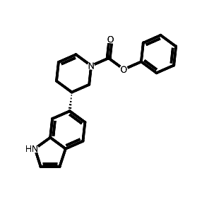 O=C(Oc1ccccc1)N1C=CC[C@@H](c2ccc3cc[nH]c3c2)C1